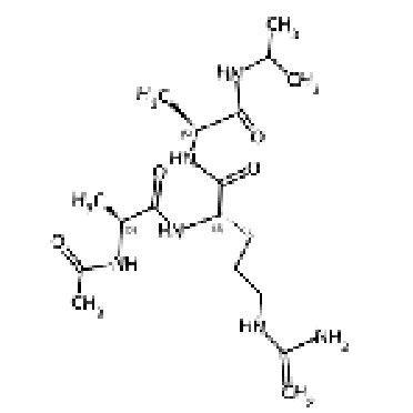 C=C(N)NCCC[C@H](NC(=O)[C@H](C)NC(C)=O)C(=O)N[C@@H](C)C(=O)NC(C)C